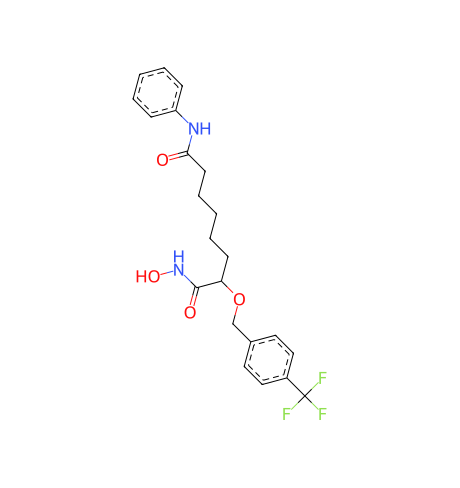 O=C(CCCCCC(OCc1ccc(C(F)(F)F)cc1)C(=O)NO)Nc1ccccc1